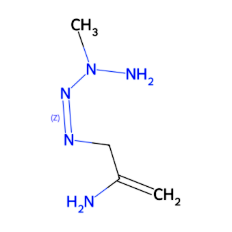 C=C(N)C/N=N\N(C)N